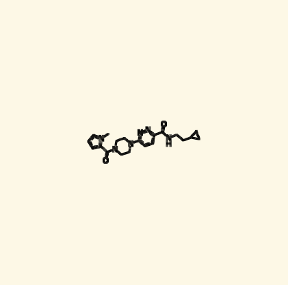 Cn1cccc1C(=O)N1CCN(c2ccc(C(=O)NCCC3CC3)nn2)CC1